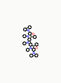 c1ccc(N2c3cc4c(cc3B3c5ccccc5Oc5cc(-n6c7ccccc7c7ccccc76)cc2c53)c2cc3c(cc2n4-c2ccccc2)N(c2ccccc2)c2cc(-n4c5ccccc5c5ccccc54)cc4c2B3c2ccccc2O4)cc1